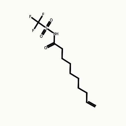 C=CCCCCCCCC(=O)NS(=O)(=O)C(F)(F)F